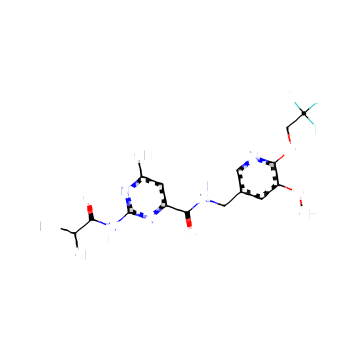 COc1cc(CNC(=O)c2cc(C)nc(NC(=O)C(C)C)n2)cnc1OCC(F)(F)F